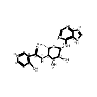 C[C@@H]1O[C@H](Nc2ncnc3nc[nH]c23)[C@@H](O)[C@H](O)[C@H]1NC(=O)c1cnccc1O